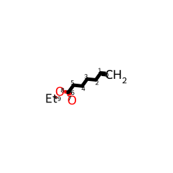 C=CCCCCC(=O)OCC